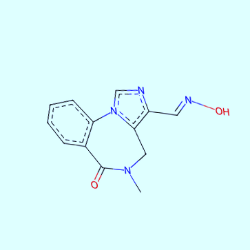 CN1Cc2c(C=NO)ncn2-c2ccccc2C1=O